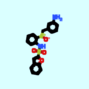 Nc1cccc(C[S+]([O-])c2ccccc2NS(=O)(=O)c2cc3ccccc3o2)c1